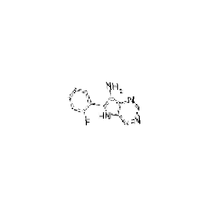 Nc1c(-c2ccccc2F)[nH]c2cncnc12